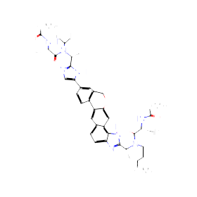 CCC(CC)N(C(=O)[C@@H](NC(=O)OC)C(C)C)[C@@H](C)c1ncc(-c2ccc3c(c2)COc2cc4c(ccc5nc([C@H](C)N(C[C@H](C)COC)C(O)[C@@H](NC(=O)OC)C(C)C)[nH]c54)cc2-3)[nH]1